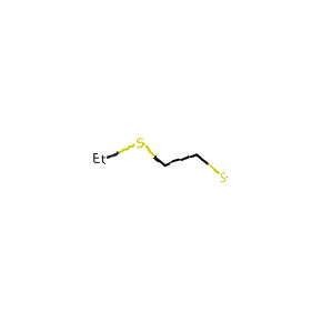 CCSCC[S]